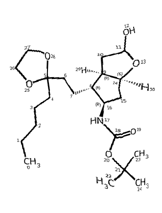 CCCCCC1(CC[C@@H]2[C@H]3CC(O)O[C@H]3C[C@H]2NC(=O)OC(C)(C)C)OCCO1